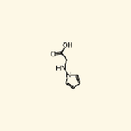 O=C(O)CNn1cccc1